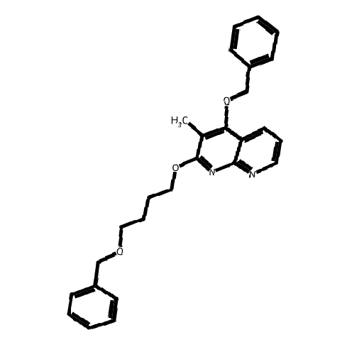 Cc1c(OCCCCOCc2ccccc2)nc2ncccc2c1OCc1ccccc1